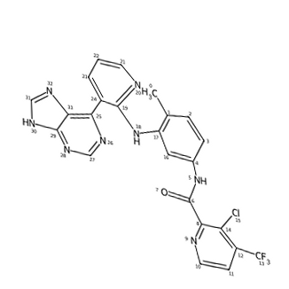 Cc1ccc(NC(=O)c2nccc(C(F)(F)F)c2Cl)cc1Nc1ncccc1-c1ncnc2[nH]cnc12